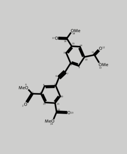 COC(=O)c1cc(C#Cc2cc(C(=O)OC)cc(C(=O)OC)c2)cc(C(=O)OC)c1